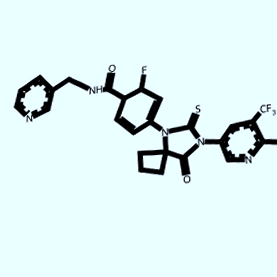 N#Cc1ncc(N2C(=O)C3(CCC3)N(C3=CC(F)C(C(=O)NCc4cccnc4)C=C3)C2=S)cc1C(F)(F)F